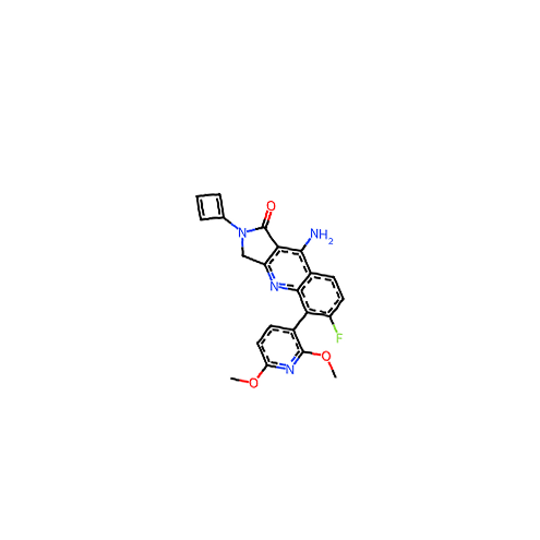 COc1ccc(-c2c(F)ccc3c(N)c4c(nc23)CN(C2=CC=C2)C4=O)c(OC)n1